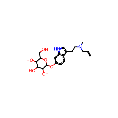 C=CCN(C)CCc1c[nH]c2cc(OC3OC(CO)C(O)C(O)C3O)ccc12